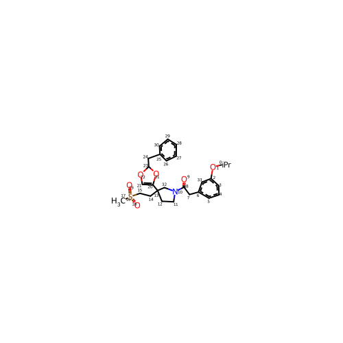 CC(C)Oc1cccc(CC(=O)N2CCC(CCS(C)(=O)=O)(C3=COC(Cc4ccccc4)O3)C2)c1